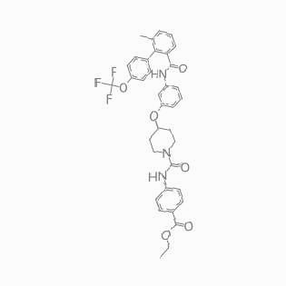 CCOC(=O)c1ccc(NC(=O)N2CCC(Oc3cccc(NC(=O)c4cccc(C)c4-c4ccc(OC(F)(F)F)cc4)c3)CC2)cc1